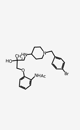 CC(=O)Nc1ccccc1OCC(C)(O)CNC1CCN(Cc2ccc(Br)cc2)CC1